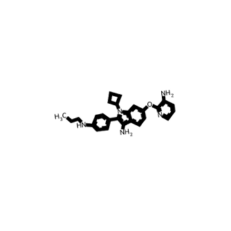 CCCNc1ccc(-c2c(N)c3ccc(Oc4ncccc4N)cc3n2C2CCC2)cc1